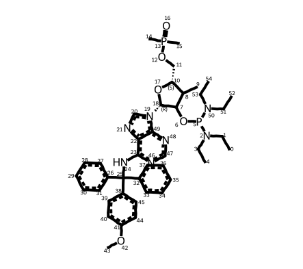 CCN(CC)P(OC1C(C)[C@@H](COP(C)(C)=O)O[C@H]1n1cnc2c(NC(c3ccccc3)(c3ccccc3)c3ccc(OC)cc3)ncnc21)N(CC)CC